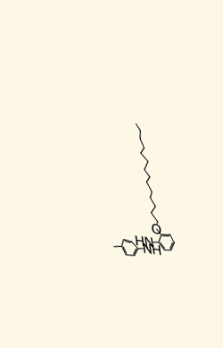 CCCCCCCCCCCCCCOc1ccccc1NNc1ccc(C)cc1